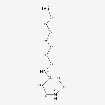 CC(C)(C)CCCCCCCNC1CCNCC1